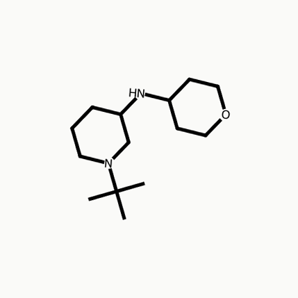 CC(C)(C)N1CCCC(NC2CCOCC2)C1